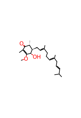 COC1=C(C)C(=O)[C@H](C)[C@@H](C/C=C(\C)CC/C=C(\C)C/C=C/C(C)C)[C@H]1O